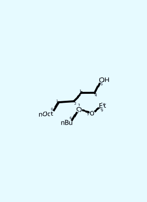 CCCCCCCCCCCCO.CCCCOOCC